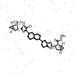 CC(C)(C)OC(=O)N1[C@@H]2C[C@@H]2C[C@H]1c1nc2cc(-c3ccc4cc(-c5nc([C@@H]6C[C@H]7C[C@H]7N6C(=O)O)[nH]c5Cl)ccc4c3)ccc2[nH]1